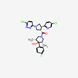 C[C@@H]1CN(C(=O)[C@@H]2CN(c3ccc(Cl)nn3)C[C@H]2c2ccc(Cl)cn2)C[C@H](C)C1(O)c1ccc(F)cc1